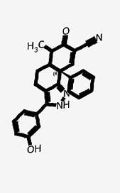 CC1C(=O)C(C#N)=C[C@]2(c3ccccc3)c3n[nH]c(-c4cccc(O)c4)c3CCC12